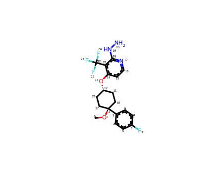 CO[C@]1(c2ccc(F)cc2)CC[C@@H](Oc2ccnc(NN)c2C(F)(F)F)CC1